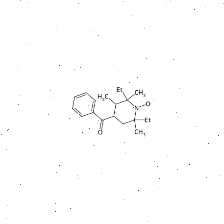 CCC1(C)CC(C(=O)c2ccccc2)C(C)C(C)(CC)N1[O]